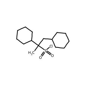 CC(CC1CCCCC1)(C1CCCCC1)S(=O)(=O)Cl